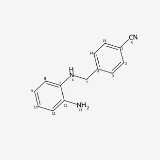 N#Cc1ccc(CNc2ccccc2N)cc1